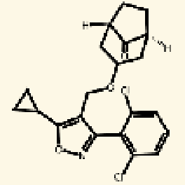 O=C1[C@H]2CC[C@H]1CC(OCc1c(-c3c(Cl)cccc3Cl)noc1C1CC1)C2